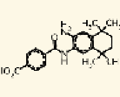 CC1(C)CCC(C)(C)c2cc(NC(=O)c3ccc(C(=O)O)cc3)c(N)cc21